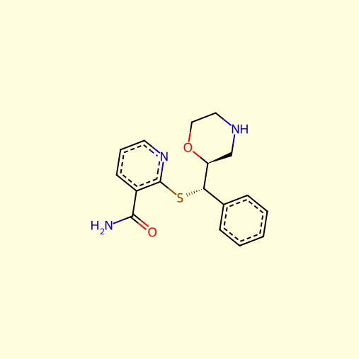 NC(=O)c1cccnc1S[C@@H](c1ccccc1)[C@@H]1CNCCO1